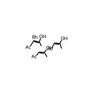 CC(=O)/C=C(\C)O.CC(=O)/C=C(\C)O.CC(=O)/C=C(\C)O.[Rh]